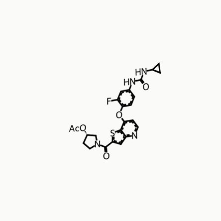 CC(=O)O[C@H]1CCN(C(=O)c2cc3nccc(Oc4ccc(NC(=O)NC5CC5)cc4F)c3s2)C1